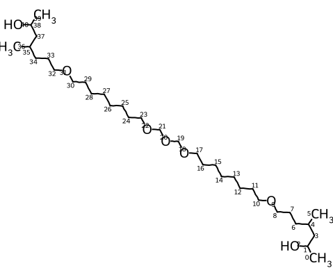 CC(O)CC(C)CCCOCCCCCCCCOCOCOCCCCCCCCOCCCC(C)CC(C)O